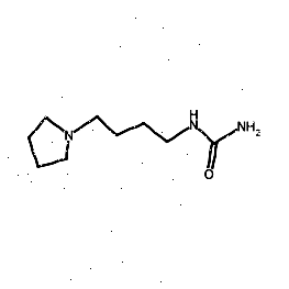 NC(=O)NCCCCN1CCCC1